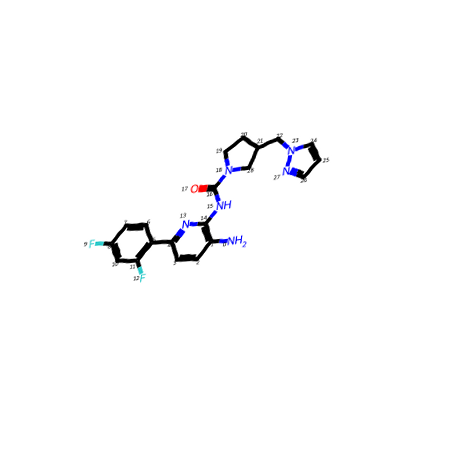 Nc1ccc(-c2ccc(F)cc2F)nc1NC(=O)N1CCC(Cn2cccn2)C1